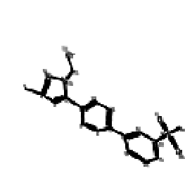 Cc1cc(-c2ccc(-c3cccc(S(C)(=O)=O)c3)cc2)n(CC(C)C)n1